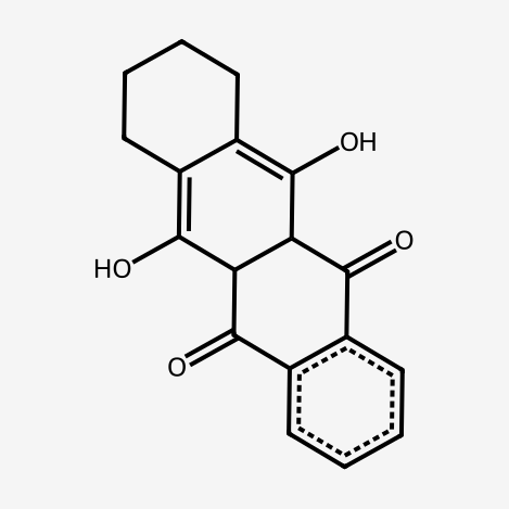 O=C1c2ccccc2C(=O)C2C(O)=C3CCCCC3=C(O)C12